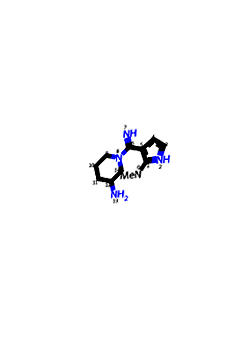 CNc1[nH]ccc1C(=N)N1CCCC(N)C1